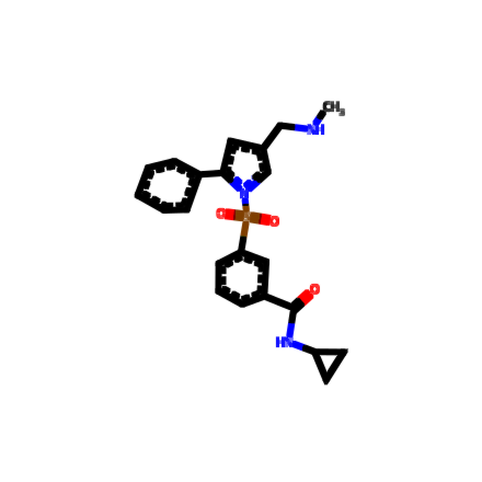 CNCc1cc(-c2ccccc2)n(S(=O)(=O)c2cccc(C(=O)NC3CC3)c2)c1